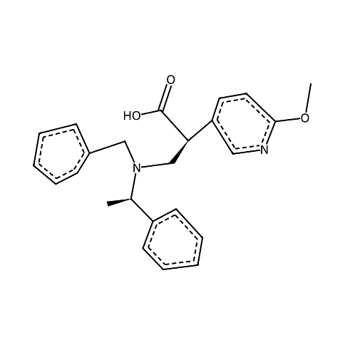 COc1ccc([C@@H](CN(Cc2ccccc2)[C@H](C)c2ccccc2)C(=O)O)cn1